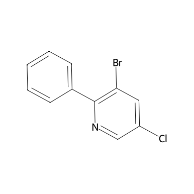 Clc1cnc(-c2ccccc2)c(Br)c1